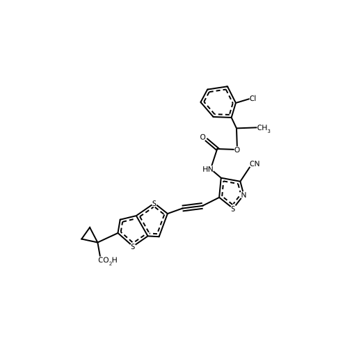 CC(OC(=O)Nc1c(C#N)nsc1C#Cc1cc2sc(C3(C(=O)O)CC3)cc2s1)c1ccccc1Cl